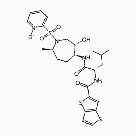 CC(C)C[C@H](NC(=O)c1cc2sccc2s1)C(=O)N[C@H]1CC[C@@H](C)N(S(=O)(=O)c2cccc[n+]2[O-])C[C@@H]1O